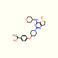 C=C(O)c1ccc(OC2CCN(c3nc4c(c(NC5CCOCC5)n3)[S+]([O-])CC4)CC2)cc1